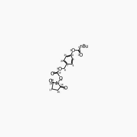 CCCCC(=O)Oc1ccc(COC(=O)ON2C(=O)CCC2=O)cc1